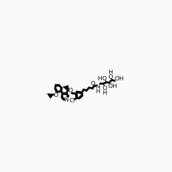 O=C(CCCCc1ccc(Cl)c(COC2(c3cnccc3-c3ccccc3OC3CC3)CC2)c1)NC[C@H](O)[C@@H](O)[C@H](O)[C@H](O)CO